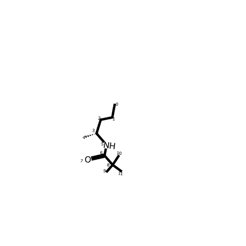 CCC[C@@H](C)NC(=O)C(C)(C)C